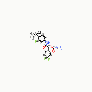 CC(C)(C)c1ccc(NC(=O)[C@@H](OC(N)=O)C2CCC(F)(F)CC2)cc1F